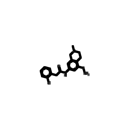 CN1CCc2c(cc(NC(=O)Cc3ccccc3Cl)cc2SN)C1